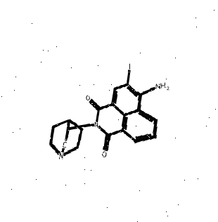 Nc1c(I)cc2c3c(cccc13)C(=O)N(C1CN3CCC1CC3)C2=O